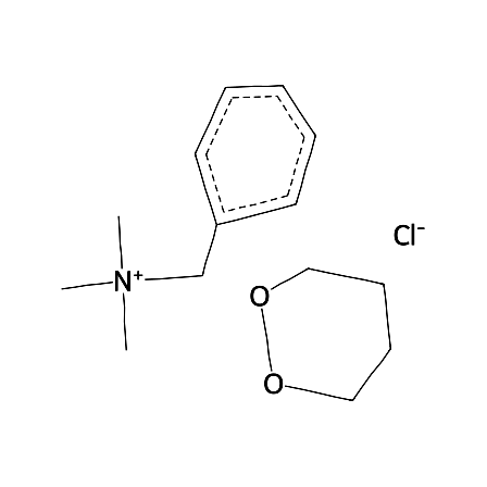 C1CCOOC1.C[N+](C)(C)Cc1ccccc1.[Cl-]